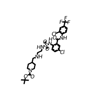 CC(C)(C)OC(=O)N1CCC(CNCCNS(=O)(=O)Nc2ccc(Cl)cc2C(=O)Nc2ccc(C(F)(F)F)cc2Cl)CC1